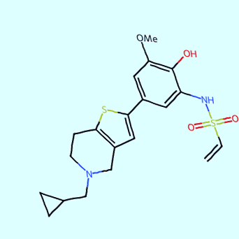 C=CS(=O)(=O)Nc1cc(-c2cc3c(s2)CCN(CC2CC2)C3)cc(OC)c1O